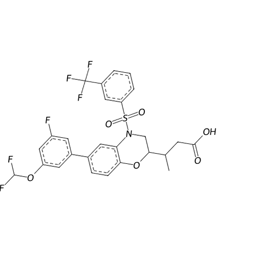 CC(CC(=O)O)C1CN(S(=O)(=O)c2cccc(C(F)(F)F)c2)c2cc(-c3cc(F)cc(OC(F)F)c3)ccc2O1